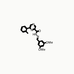 COc1cc(C=NNC(=O)c2cncc(-c3ccccc3C)n2)cc(OC)c1